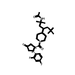 CC(=O)NC(C)(C)CC(CC(C)(C)C)C1CCN(C(=O)[C@@H]2CC(=O)C[C@H]2c2ccc(F)cc2F)CC1